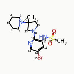 CC1(N2CCCCC2)CCN(c2ncc(Br)cc2NS(C)(=O)=O)C1